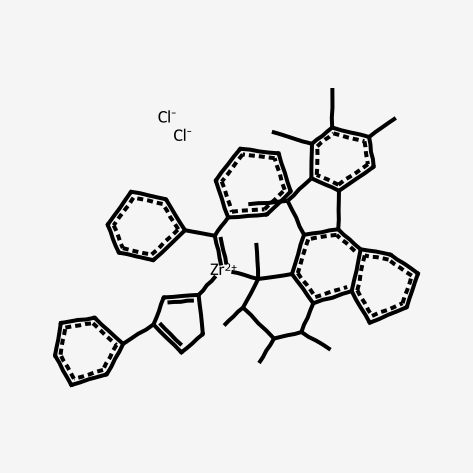 Cc1cc2c(c(C)c1C)C(C)c1c3c(c4ccccc4c1-2)C(C)C(C)C(C)[C]3(C)[Zr+2]([C]1=CC(c2ccccc2)=CC1)=[C](c1ccccc1)c1ccccc1.[Cl-].[Cl-]